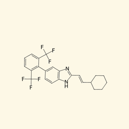 FC(F)(F)c1cccc(C(F)(F)F)c1-c1ccc2[nH]c(C=CC3CCCCC3)nc2c1